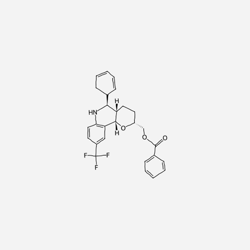 O=C(OC[C@H]1CC[C@@H]2[C@H](O1)c1cc(C(F)(F)F)ccc1N[C@H]2C1C=CC=CC1)c1ccccc1